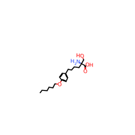 CCCCCCOc1ccc(CCCCC(N)(CO)C(=O)O)cc1